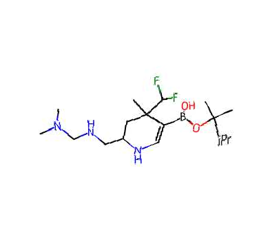 CC(C)C(C)(C)OB(O)C1=CNC(CNCN(C)C)CC1(C)C(F)F